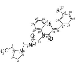 CCC1CCCN1CNC(=O)CN1C(=O)/C(=C/c2cccc(Br)c2)Sc2ccccc21